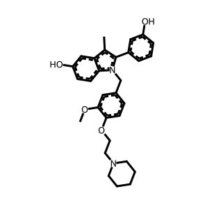 COc1cc(Cn2c(-c3cccc(O)c3)c(C)c3cc(O)ccc32)ccc1OCCN1CCCCC1